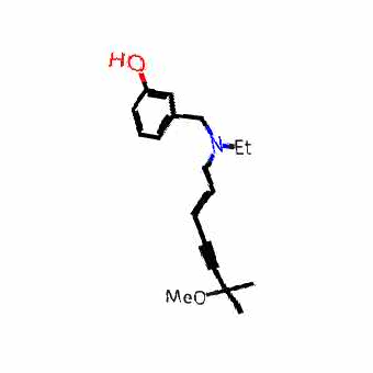 CCN(CC=CC#CC(C)(C)OC)Cc1cccc(O)c1